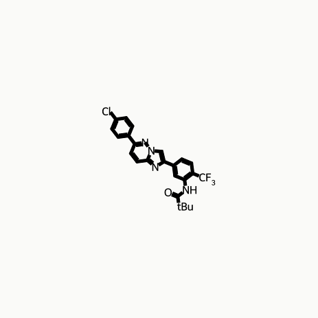 CC(C)(C)C(=O)Nc1cc(-c2cn3nc(-c4ccc(Cl)cc4)ccc3n2)ccc1C(F)(F)F